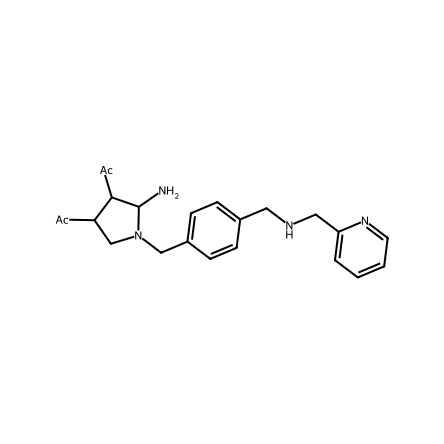 CC(=O)C1CN(Cc2ccc(CNCc3ccccn3)cc2)C(N)C1C(C)=O